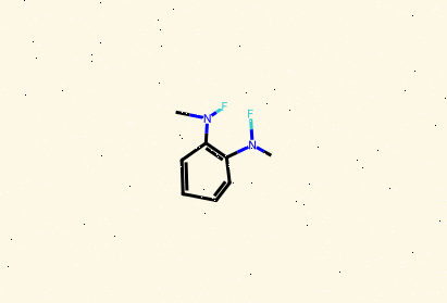 CN(F)c1[c]cccc1N(C)F